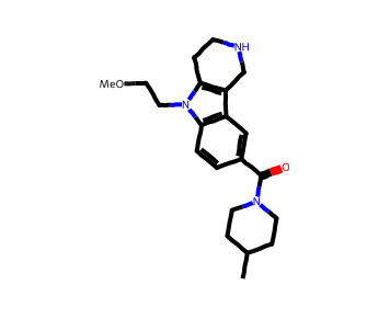 COCCn1c2c(c3cc(C(=O)N4CCC(C)CC4)ccc31)CNCC2